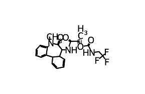 C[C@H](OC(=O)NCC(F)(F)F)C(=O)NC1C(=O)N(C)c2ccccc2C2C=CC=CC12